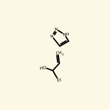 C=CC(O)CC.c1c[nH]nn1